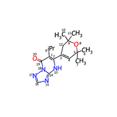 CC(C)c1c(C2=CC(C)(C)OC(C)(C)C2)[nH]c2ncnn2c1=O